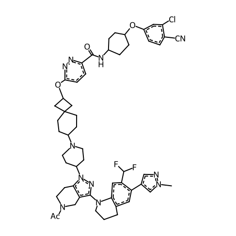 CC(=O)N1CCc2c(c(N3CCCc4cc(-c5cnn(C)c5)c(C(F)F)cc43)nn2C2CCN(C3CCC4(CC3)CC(Oc3ccc(C(=O)NC5CCC(Oc6ccc(C#N)c(Cl)c6)CC5)nn3)C4)CC2)C1